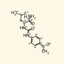 CC(C)C[C@H](NC(=O)Nc1ccc([S+](C)[O-])cc1)C(N)=O